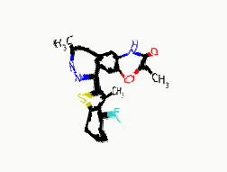 CC1=NN=C(c2sc3cccc(F)c3c2C)c2cc3c(cc2C1)NC(=O)C(C)O3